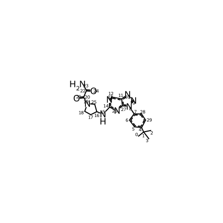 CC(C)(C)c1ccc(-n2nnc3cnc(NC4CCN(C(=O)C(N)=O)C4)nc32)cc1